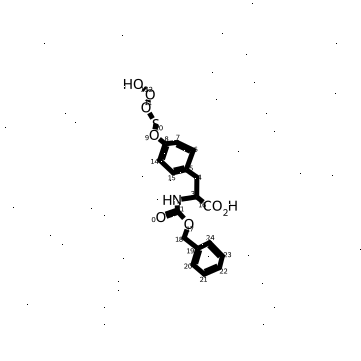 O=C(NC(Cc1ccc(OSOOO)cc1)C(=O)O)OCc1ccccc1